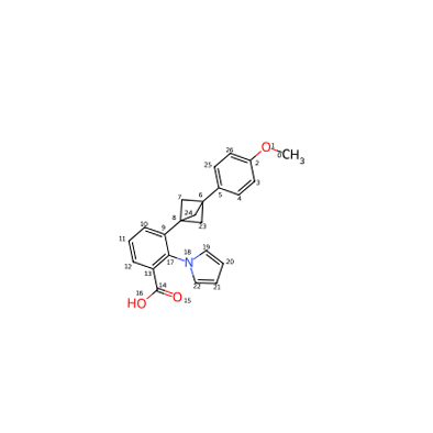 COc1ccc(C23CC(c4cccc(C(=O)O)c4-n4cccc4)(C2)C3)cc1